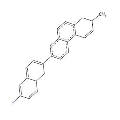 CC1C=Cc2c(ccc3cc(C4=CC=C5C=C(I)C=CC5C4)ccc23)C1